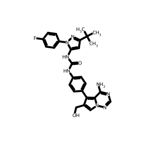 CC(C)(C)c1cc(NC(=O)Nc2ccc(-c3c(CO)cn4ncnc(N)c34)cc2)n(-c2ccc(F)cc2)n1